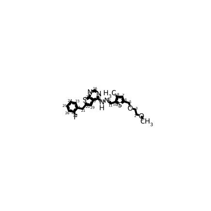 COCCOCc1cc(C)c(C=NNc2ncnc3sc(Cc4ccccc4F)cc23)s1